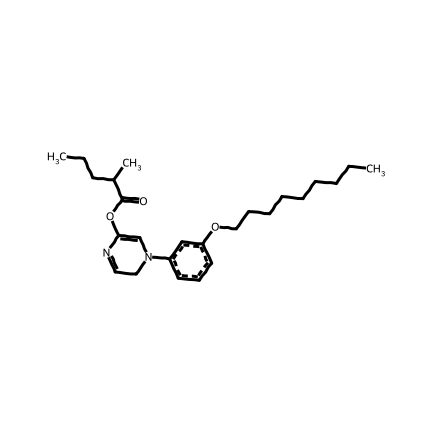 CCCCCCCCCOc1cccc(N2C=C(OC(=O)C(C)CCC)N=CC2)c1